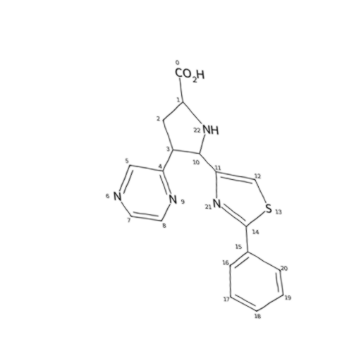 O=C(O)C1CC(c2cnccn2)C(c2csc(-c3ccccc3)n2)N1